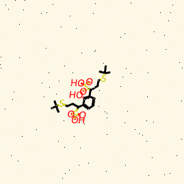 CC(C)(C)SCCC(c1cccc(C(CCSC(C)(C)C)S(=O)(=O)O)c1O)S(=O)(=O)O